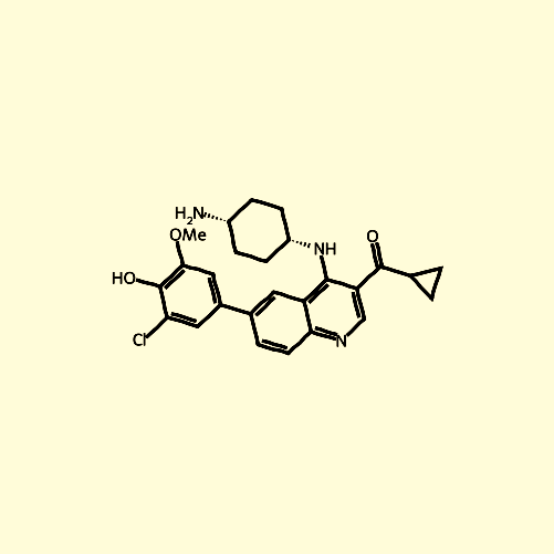 COc1cc(-c2ccc3ncc(C(=O)C4CC4)c(N[C@H]4CC[C@@H](N)CC4)c3c2)cc(Cl)c1O